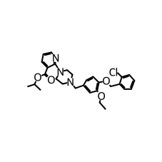 CCOc1cc(CN2CCN(c3ncccc3C(=O)OC(C)C)CC2)ccc1OCc1ccccc1Cl